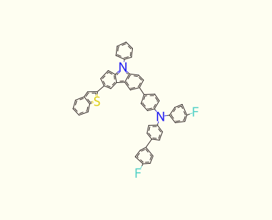 Fc1ccc(-c2ccc(N(c3ccc(F)cc3)c3ccc(-c4ccc5c(c4)c4cc(-c6cc7ccccc7s6)ccc4n5-c4ccccc4)cc3)cc2)cc1